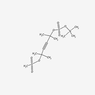 CC(C)(C#CC(C)(C)OS(=O)(=O)O[Si](C)(C)C)OS(C)(=O)=O